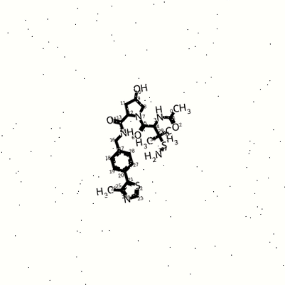 CC(=O)NC(C(=O)N1CC(O)CC1C(=O)NCc1ccc(-c2scnc2C)cc1)C(C)(C)SN